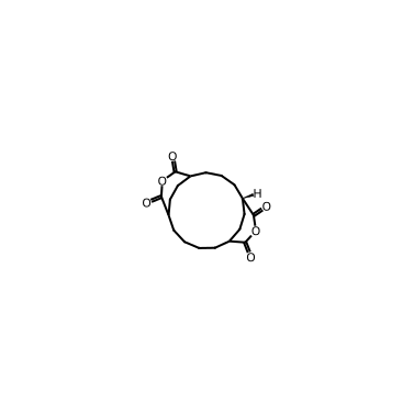 O=C1OC(=O)C2CCC[C@H]3CCC(CCCCC1CC2)C(=O)OC3=O